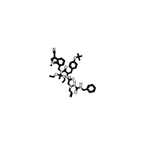 C=CCN(CC(=O)NC(Cc1ccc(OC(C)(C)C)cc1)C(=O)N(Cc1cccc2c(C#N)cn(C)c12)C(C)(OCC)OCC)NC(=O)NCc1ccccc1